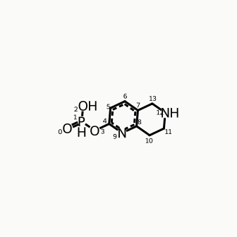 O=[PH](O)Oc1ccc2c(n1)CCNC2